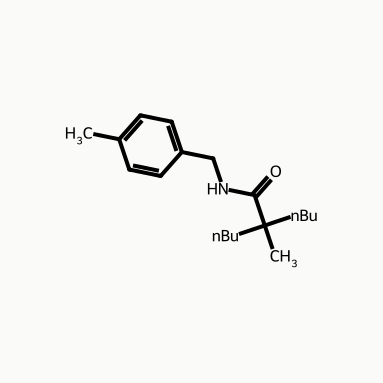 CCCCC(C)(CCCC)C(=O)NCc1ccc(C)cc1